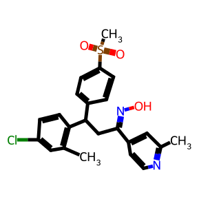 Cc1cc(C(CC(c2ccc(S(C)(=O)=O)cc2)c2ccc(Cl)cc2C)=NO)ccn1